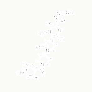 CC[C@H]1CN(c2c(Cl)nc(-c3nnc(N)o3)c(=O)n2C)CCN1C1CCN(C(=O)c2cc(F)c(Cl)cc2F)CC1